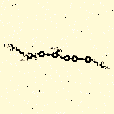 C=CC(=O)OCCCCOc1ccc(C(=O)Oc2ccc(C#Cc3ccc(OCc4ccc(-c5ccc(C#Cc6ccc(OCCOC(=O)C=C)cc6)cc5)cc4)c(C(=O)OC)c3)cc2)cc1OC